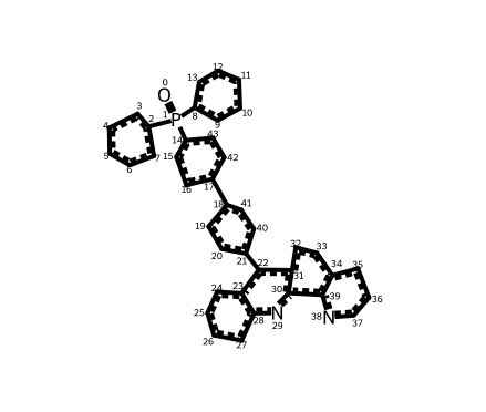 O=P(c1ccccc1)(c1ccccc1)c1ccc(-c2ccc(-c3c4ccccc4nc4c3ccc3cccnc34)cc2)cc1